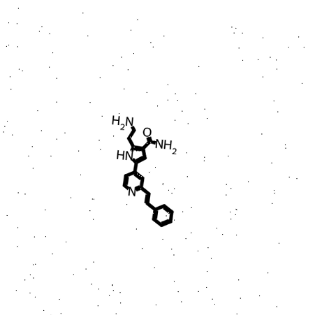 NCCc1[nH]c(-c2ccnc(/C=C/c3ccccc3)c2)cc1C(N)=O